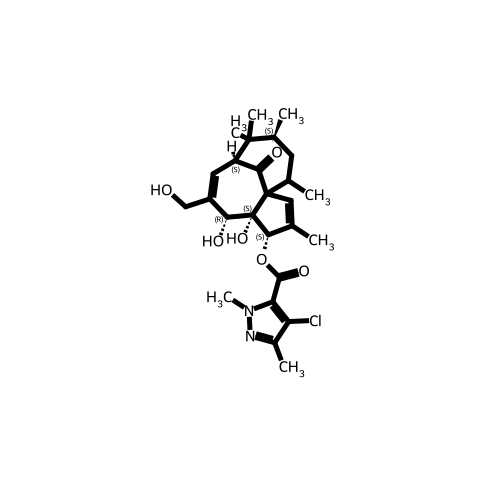 CC1=CC23C(=O)[C@@H](C=C(CO)[C@@H](O)[C@]2(O)[C@H]1OC(=O)c1c(Cl)c(C)nn1C)C(C)(C)[C@@H](C)CC3C